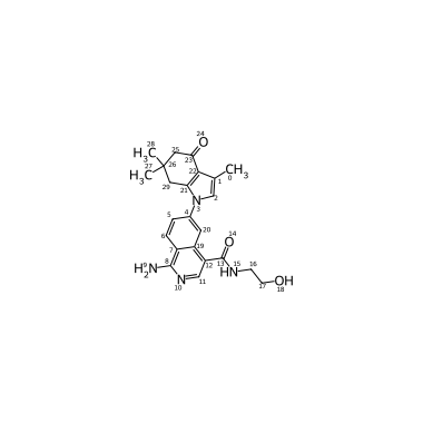 Cc1cn(-c2ccc3c(N)ncc(C(=O)NCCO)c3c2)c2c1C(=O)CC(C)(C)C2